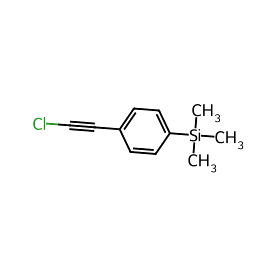 C[Si](C)(C)c1ccc(C#CCl)cc1